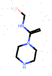 BCNC(=C)N1CCNCC1